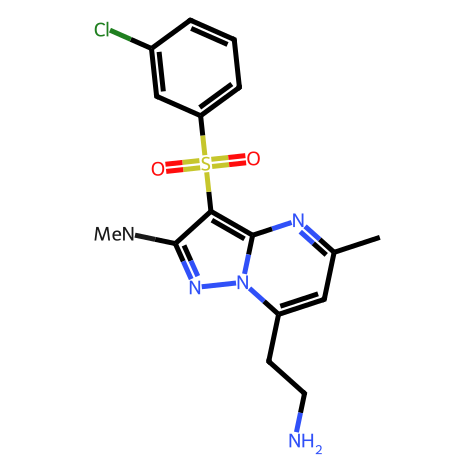 CNc1nn2c(CCN)cc(C)nc2c1S(=O)(=O)c1cccc(Cl)c1